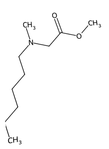 CCCCCCN(C)CC(=O)OC